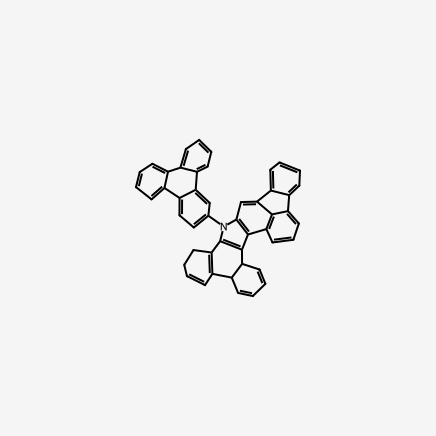 C1=CC2C3=C(CCC=C3)c3c(c4c5cccc6c5c(cc4n3-c3ccc4c5ccccc5c5ccccc5c4c3)-c3ccccc3-6)C2C=C1